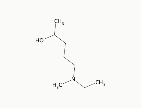 CCN(C)CCCC(C)O